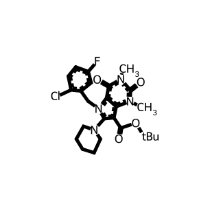 Cn1c(=O)c2c(c(C(=O)OC(C)(C)C)c(N3CCCCC3)n2Cc2cc(F)ccc2Cl)n(C)c1=O